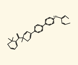 C=C(C1=CC=CCC1(C)C)C1(C)C=CC(c2ccc(-c3ccc(NC(/C=C\C)=C/C)cc3)cc2)=CC1